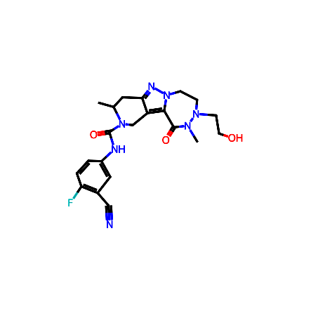 CC1Cc2nn3c(c2CN1C(=O)Nc1ccc(F)c(C#N)c1)C(=O)N(C)N(CCO)CC3